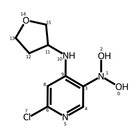 ON(O)c1cnc(Cl)cc1NC1CCOC1